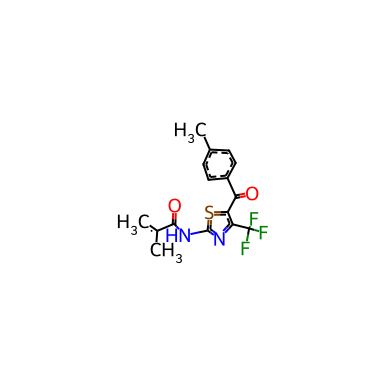 C[C](C)C(=O)Nc1nc(C(F)(F)F)c(C(=O)c2ccc(C)cc2)s1